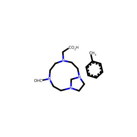 Cc1ccccc1.O=CN1CCN(CC(=O)O)CCN2CCN(CC1)C2